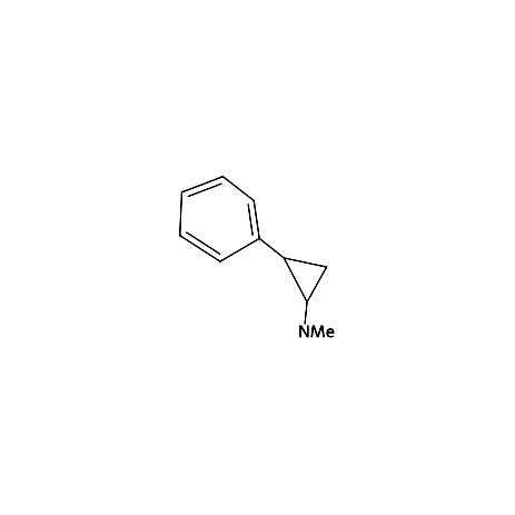 CNC1CC1c1ccccc1